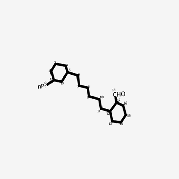 CCCC1CCCC(CCCCCCC2CCCCC2C=O)C1